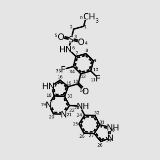 CCCS(=O)(=O)Nc1ccc(F)c(C(=O)c2c[nH]c3ncnc(Nc4ccc5cn[nH]c5c4)c23)c1F